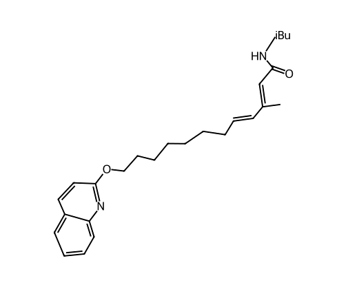 CCC(C)NC(=O)C=C(C)C=CCCCCCCCOc1ccc2ccccc2n1